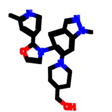 Cc1cc(C2OC=CN2c2cc3cnn(C)c3cc2N2CCC(CO)CC2)ccn1